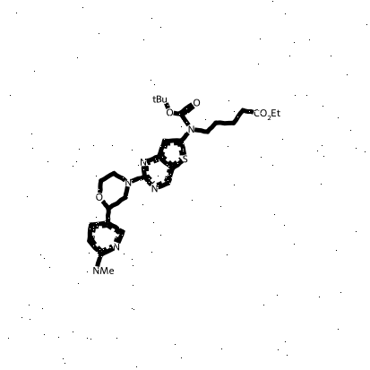 CCOC(=O)CCCCN(C(=O)OC(C)(C)C)c1cc2nc(N3CCOC(c4ccc(NC)nc4)C3)ncc2s1